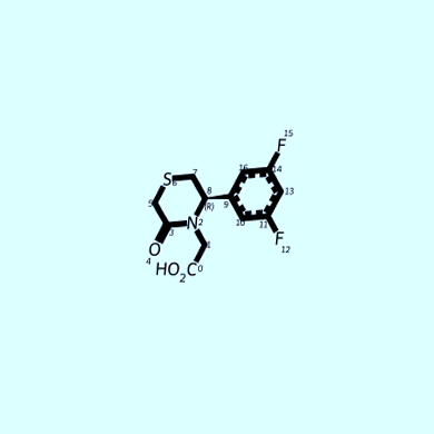 O=C(O)CN1C(=O)CSC[C@H]1c1cc(F)cc(F)c1